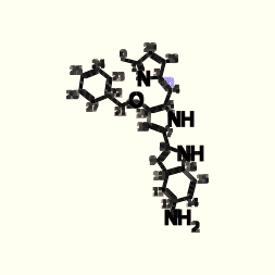 CC1=N/C(=C\c2[nH]c(-c3cc4cc(N)ccc4[nH]3)cc2OCc2ccccc2)C=C1